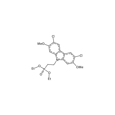 CCOP(=O)(CCn1c2cc(OC)c(Cl)cc2c2cc(Cl)c(OC)cc21)OCC